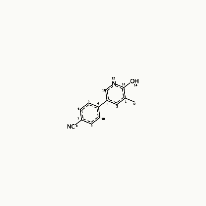 Cc1cc(-c2ccc(C#N)cc2)cnc1O